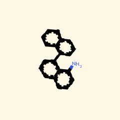 Nc1cccc2cccc(-c3cccc4ccccc34)c12